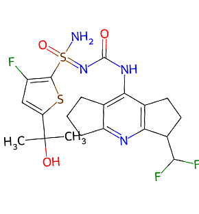 CC(C)(O)c1cc(F)c(S(N)(=O)=NC(=O)Nc2c3c(nc4c2CCC4C(F)F)CCC3)s1